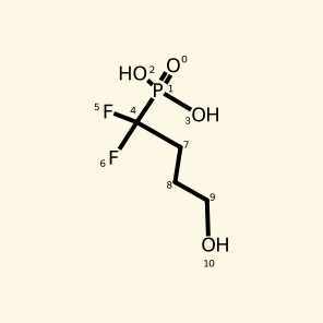 O=P(O)(O)C(F)(F)CCCO